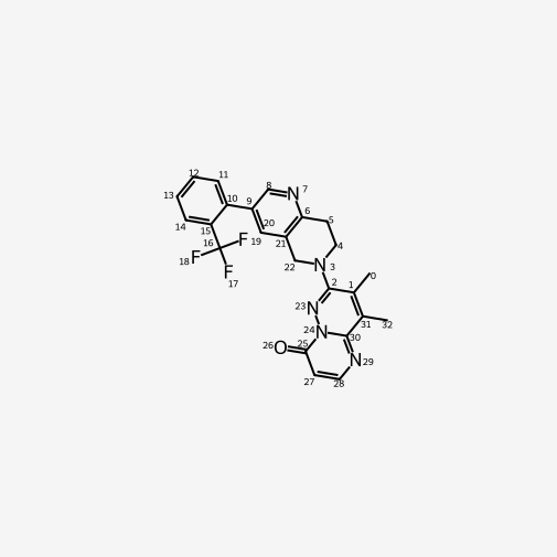 Cc1c(N2CCc3ncc(-c4ccccc4C(F)(F)F)cc3C2)nn2c(=O)ccnc2c1C